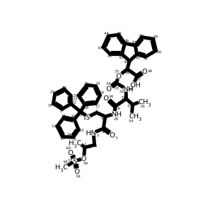 CC(CNC(=O)C(CSC(c1ccccc1)(c1ccccc1)c1ccccc1)NC(=O)C(NC(=O)OC(C(=O)O)C1c2ccccc2-c2ccccc21)C(C)C)OS(C)(=O)=O